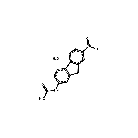 CC(=O)Nc1ccc2c(c1)Cc1cc([N+](=O)[O-])ccc1-2.O